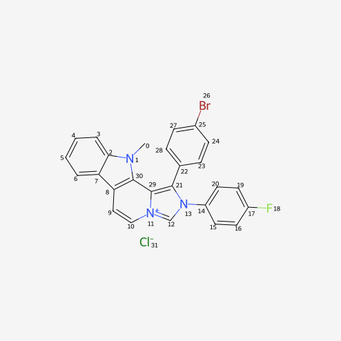 Cn1c2ccccc2c2cc[n+]3cn(-c4ccc(F)cc4)c(-c4ccc(Br)cc4)c3c21.[Cl-]